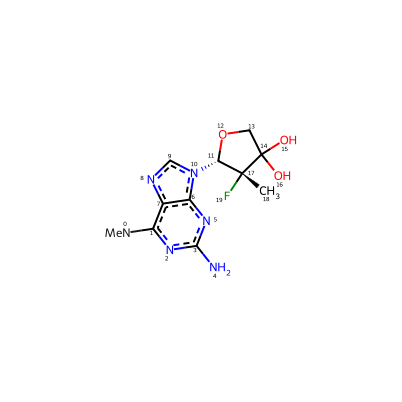 CNc1nc(N)nc2c1ncn2[C@@H]1OCC(O)(O)[C@]1(C)F